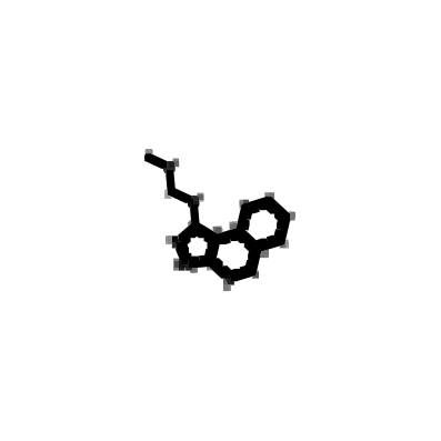 COCOc1n[nH]c2ncc3ccccc3c12